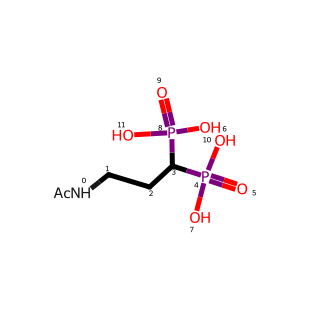 CC(=O)NCCC(P(=O)(O)O)P(=O)(O)O